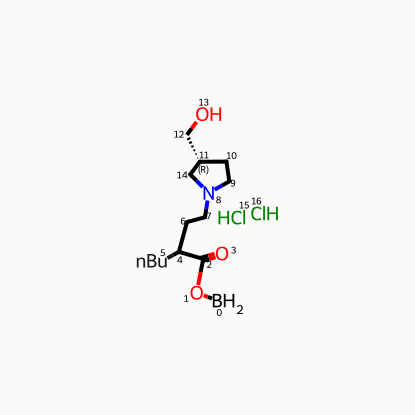 BOC(=O)C(CCCC)CCN1CC[C@@H](CO)C1.Cl.Cl